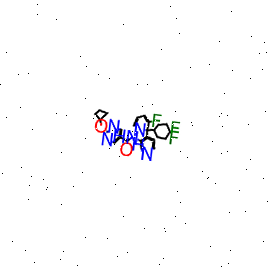 O=C(Nc1cnccc1C1(C2CCC(F)(F)CC2)NC=CC=C1F)c1cnc(OC2CCC2)nc1